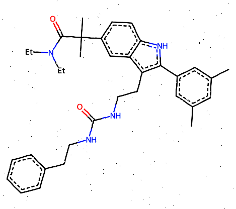 CCN(CC)C(=O)C(C)(C)c1ccc2[nH]c(-c3cc(C)cc(C)c3)c(CCNC(=O)NCCc3ccccc3)c2c1